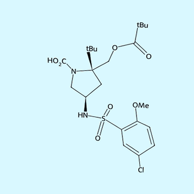 COc1ccc(Cl)cc1S(=O)(=O)N[C@H]1CN(C(=O)O)[C@@](COC(=O)C(C)(C)C)(C(C)(C)C)C1